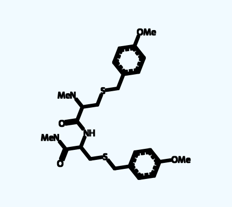 CNC(=O)C(CSCc1ccc(OC)cc1)NC(=O)C(CSCc1ccc(OC)cc1)NC